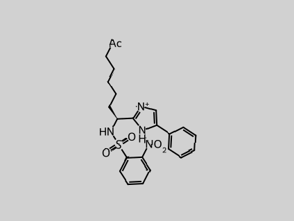 CC(=O)CCCCC[C@H](NS(=O)(=O)c1ccccc1[N+](=O)[O-])C1=[N+]C=C(c2ccccc2)N1